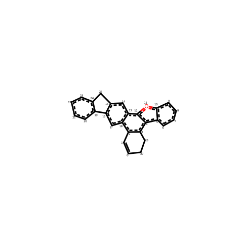 C1=Cc2c(c3c4ccccc4oc3c3cc4c(cc23)-c2ccccc2C4)CC1